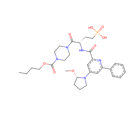 CCCCOC(=O)N1CCN(C(=O)[C@H](CCP(=O)(O)O)NC(=O)c2cc(N3CCC[C@@H]3OC)cc(-c3ccccc3)n2)CC1